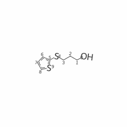 OCCCSc1cccs1